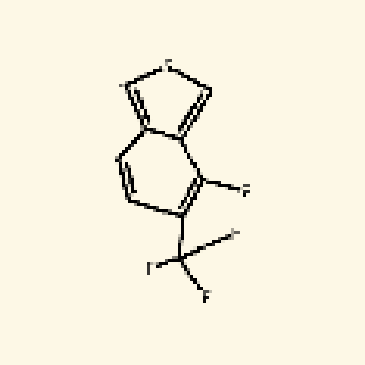 Fc1c(C(F)(F)F)ccc2[c]scc12